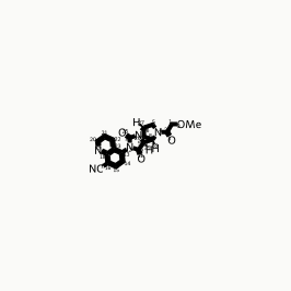 COCC(=O)N1C[C@@H]2C[C@H]1[C@H]1C(=O)N(c3ccc(C#N)c4ncccc34)C(=O)N21